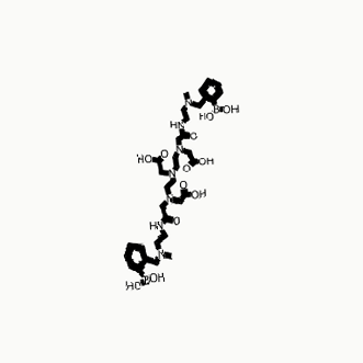 CN(CCNC(=O)CN(CCN(CCN(CC(=O)O)CC(=O)NCCN(C)Cc1ccccc1B(O)O)CC(=O)O)CC(=O)O)Cc1ccccc1B(O)O